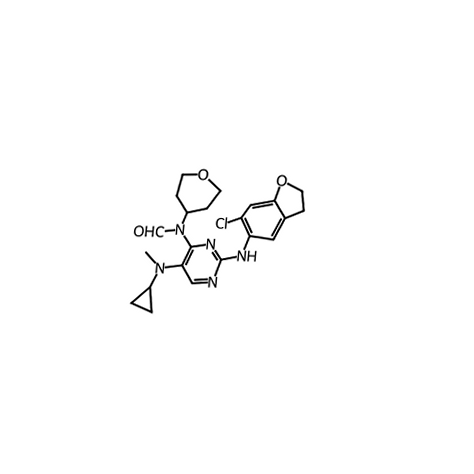 CN(c1cnc(Nc2cc3c(cc2Cl)OCC3)nc1N(C=O)C1CCOCC1)C1CC1